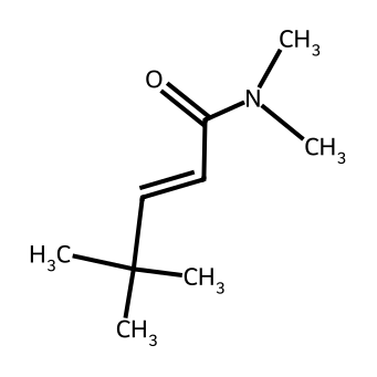 CN(C)C(=O)/C=C/C(C)(C)C